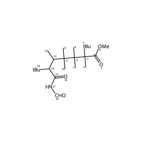 COC(=O)C(C)(C(C)(C)C)C(C)(C)C(C)(C)C(C)C(C(=O)NC=O)C(C)(C)C